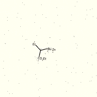 CCCCC(CC)C(=O)OCC.[Zn]